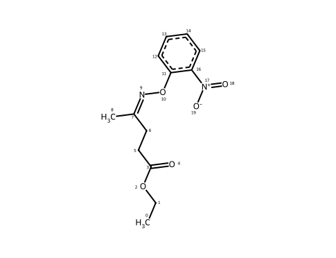 CCOC(=O)CCC(C)=NOc1ccccc1[N+](=O)[O-]